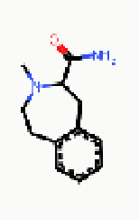 CN1CCc2c[c]ccc2CC1C(N)=O